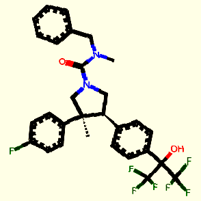 CN(Cc1ccccc1)C(=O)N1C[C@@H](c2ccc(C(O)(C(F)(F)F)C(F)(F)F)cc2)[C@@](C)(c2ccc(F)cc2)C1